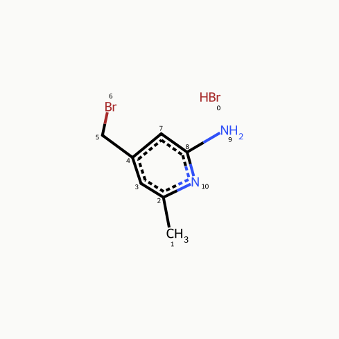 Br.Cc1cc(CBr)cc(N)n1